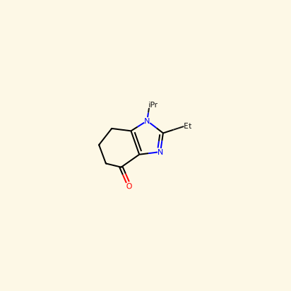 CCc1nc2c(n1C(C)C)CCCC2=O